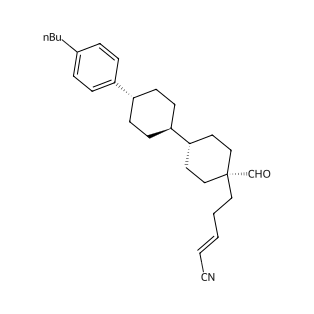 CCCCc1ccc([C@H]2CC[C@H]([C@H]3CC[C@](C=O)(CCC=CC#N)CC3)CC2)cc1